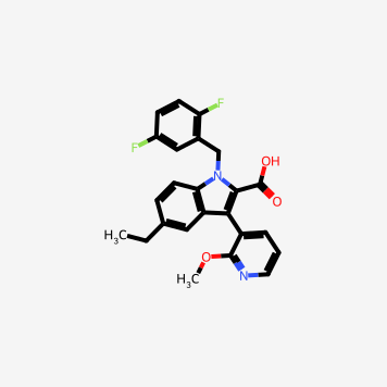 CCc1ccc2c(c1)c(-c1cccnc1OC)c(C(=O)O)n2Cc1cc(F)ccc1F